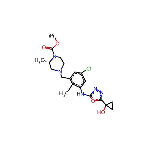 Cc1c(CN2CCN(C(=O)OC(C)C)[C@@H](C)C2)cc(Cl)cc1Nc1nnc(C2(O)CC2)o1